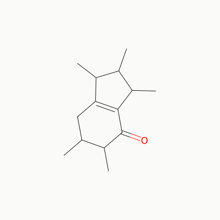 CC1CC2=C(C(=O)C1C)C(C)C(C)C2C